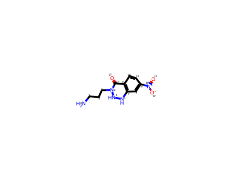 NCCCN1NNc2cc([N+](=O)[O-])ccc2C1=O